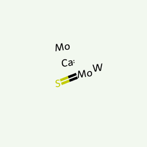 [Ca].[Mo].[S]=[Mo].[W]